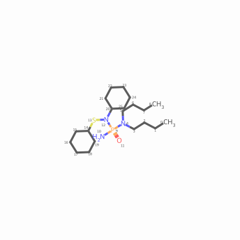 CCCCN(CCCC)P(N)(=O)N(SC1CCCCC1)C1CCCCC1